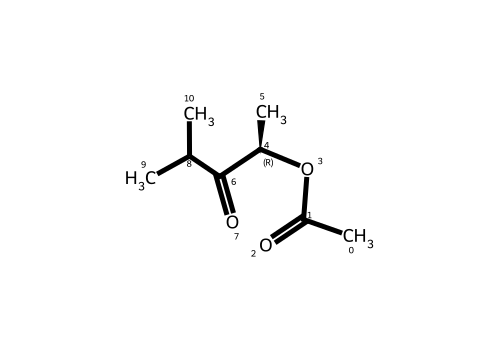 CC(=O)O[C@H](C)C(=O)C(C)C